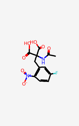 CC(=O)NC(Cc1cc(F)ccc1[N+](=O)[O-])(C(=O)O)C(=O)O